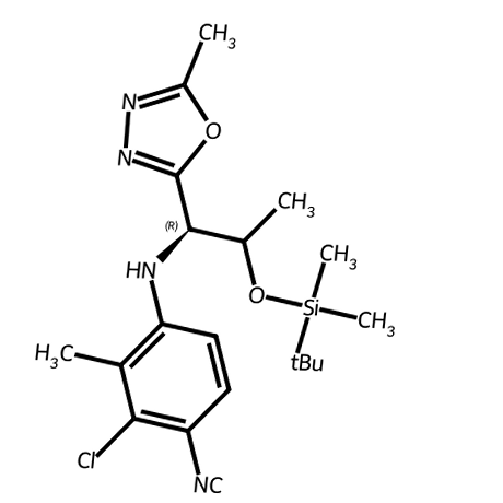 [C-]#[N+]c1ccc(N[C@@H](c2nnc(C)o2)C(C)O[Si](C)(C)C(C)(C)C)c(C)c1Cl